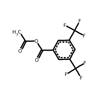 CC(=O)OC(=O)c1cc(C(F)(F)F)cc(C(F)(F)F)c1